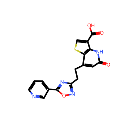 O=C(O)c1csc2c(CCc3noc(-c4cccnc4)n3)cc(=O)[nH]c12